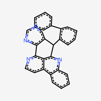 c1ccc(-c2ccccc2C2c3cncnc3-c3nccc4c3c2nc2ccccc24)cc1